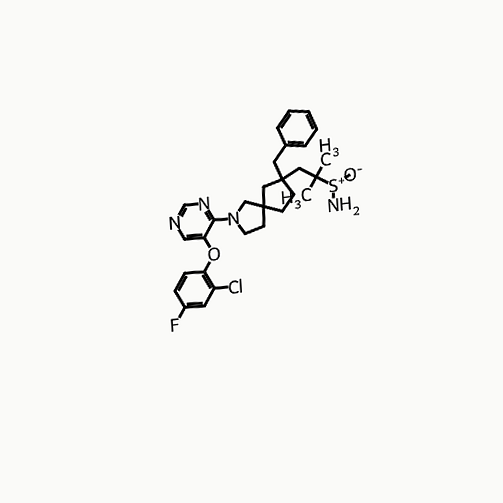 CC(C)(CC1(Cc2ccccc2)CCC2(CCN(c3ncncc3Oc3ccc(F)cc3Cl)C2)C1)[S+](N)[O-]